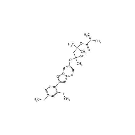 C=C(C)C(=O)OC(C)(C)CC(C)(S)Oc1ccc2cc(-c3cnc(CC)cc3CC)oc2c1